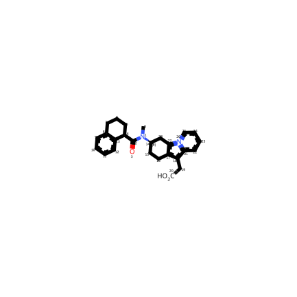 CN(C(=O)C1CCCc2ccccc21)[C@@H]1CCc2c(CC(=O)O)c3ccccn3c2C1